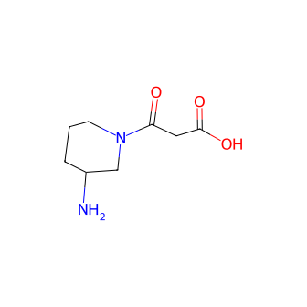 NC1CCCN(C(=O)CC(=O)O)C1